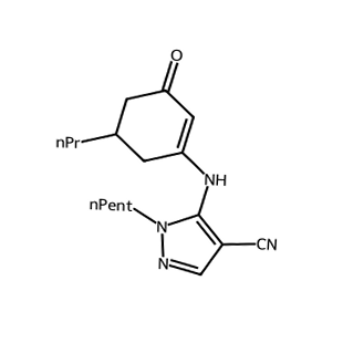 CCCCCn1ncc(C#N)c1NC1=CC(=O)CC(CCC)C1